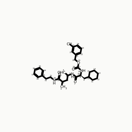 CC(CC(C=O)NC(=O)[C@H](CC1CCCCC1)NC(=O)OCc1cccc(Cl)c1)C(=O)NCCc1ccccc1